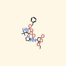 CCO[C@@H]1OC(=O)CC1NC(=O)[C@@H]1CCCN1C(=O)[C@@H](NC(=O)OCc1ccccc1)C(C)(C)C